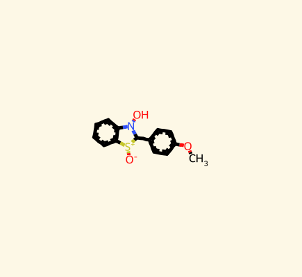 COc1ccc(C2N(O)c3ccccc3[S+]2[O-])cc1